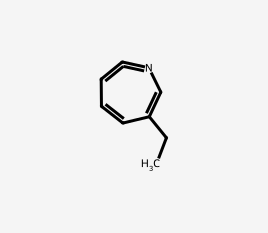 CCC1=CN=C=CC=C1